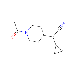 CC(=O)N1CCC(C(C#N)C2CC2)CC1